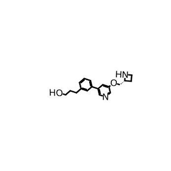 OCCCc1cccc(-c2cncc(OC[C@H]3CCN3)c2)c1